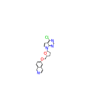 Clc1ncnc2c1ccn2[C@H]1CC[C@@H](COc2ccc3cnccc3c2)O1